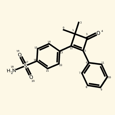 CC1(C)C(=O)C(c2ccccc2)=C1c1ccc(S(N)(=O)=O)cc1